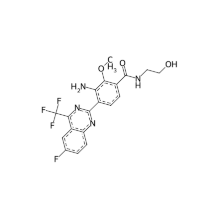 COc1c(C(=O)NCCO)ccc(-c2nc(C(F)(F)F)c3cc(F)ccc3n2)c1N